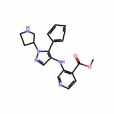 COC(=O)c1ccncc1Nc1cnn(C2CCNC2)c1-c1ccccc1